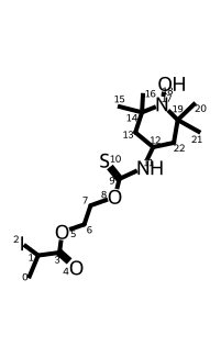 CC(I)C(=O)OCCOC(=S)NC1CC(C)(C)N(O)C(C)(C)C1